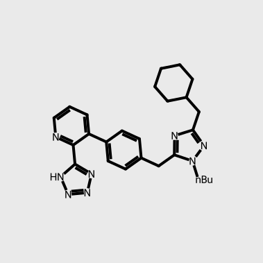 CCCCn1nc(CC2CCCCC2)nc1Cc1ccc(-c2cccnc2-c2nnn[nH]2)cc1